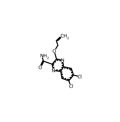 C=CCOc1nc2cc(Cl)c(Cl)cc2nc1C(N)=O